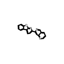 c1cnc2cc(-c3ccc4c(n3)oc3ccccc34)ncc2c1